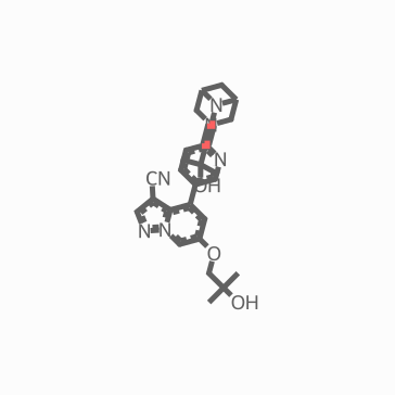 CC(C)(O)C#CN1C2CC1CN(c1ccc(-c3cc(OCC(C)(C)O)cn4ncc(C#N)c34)cn1)C2